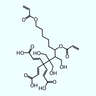 C=CC(=O)OCCCCCC(OC(=O)C=C)C(CO)C(CO)(CO)C(C=CC(=O)O)(C=CC(=O)O)C=CC(=O)O